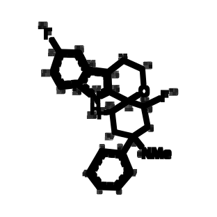 CNC1(c2ccccc2)CC(F)C2(OCCc3c2[nH]c2ccc(F)cc32)C(F)C1